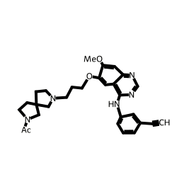 C#Cc1cccc(Nc2ncnc3cc(OC)c(OCCCN4CCC5(CCN(C(C)=O)C5)C4)cc23)c1